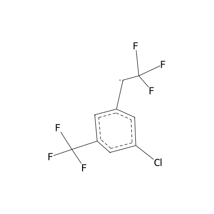 FC(F)(F)[CH]c1cc(Cl)cc(C(F)(F)F)c1